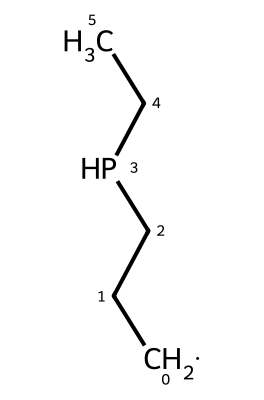 [CH2]CCPCC